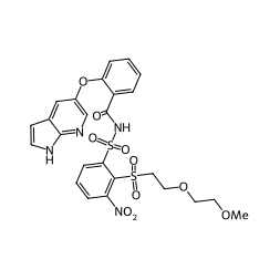 COCCOCCS(=O)(=O)c1c([N+](=O)[O-])cccc1S(=O)(=O)NC(=O)c1ccccc1Oc1cnc2[nH]ccc2c1